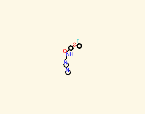 O=C(NCCCN1CCC(N2CCCCC2)CC1)c1ccc(Oc2ccccc2F)cc1